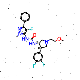 COCCN1C[C@@H](NC(=O)Nc2c(F)c(-c3ccccc3)nn2C)[C@H](c2ccc(F)c(F)c2)C1